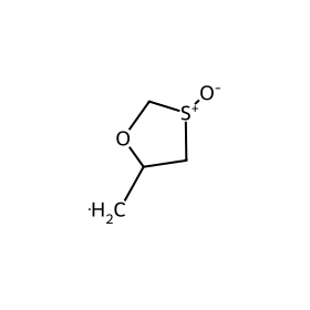 [CH2]C1C[S+]([O-])CO1